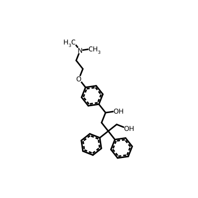 CN(C)CCOc1ccc(C(O)CC(CO)(c2ccccc2)c2ccccc2)cc1